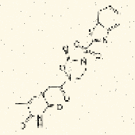 Cc1cn(CC(=O)N2CCN(S(=O)(=O)c3nc4ccccc4s3)C(=O)O2)c(=O)[nH]c1=O